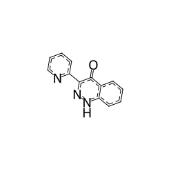 O=c1c(-c2ccccn2)n[nH]c2ccccc12